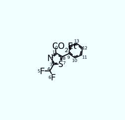 CCOC(=O)c1nc(C(F)F)sc1-c1ccccc1